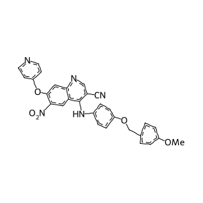 COc1ccc(COc2ccc(Nc3c(C#N)cnc4cc(Oc5ccncc5)c([N+](=O)[O-])cc34)cc2)cc1